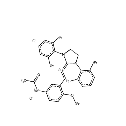 CC(C)Oc1ccc(NC(=O)C(F)(F)F)cc1[CH]=[Ru+2]=[C]1N(c2c(C(C)C)cccc2C(C)C)CCN1c1c(C(C)C)cccc1C(C)C.[Cl-].[Cl-]